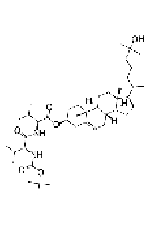 CC(C)[C@H](NC(=O)OC(C)(C)C)C(=O)N[C@H](C(=O)O[C@H]1CC[C@@]2(C)C(=CC[C@H]3[C@@H]4CC[C@H]([C@H](C)CCCC(C)(C)O)[C@@]4(C)CC[C@@H]32)C1)C(C)C